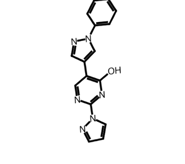 Oc1nc(-n2cccn2)ncc1-c1cnn(-c2ccccc2)c1